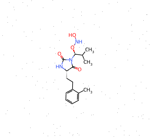 Cc1ccccc1CC[C@@H]1NC(=O)N([C@@H](ONO)C(C)C)C1=O